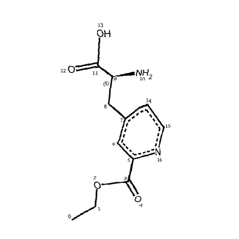 CCOC(=O)c1cc(C[C@H](N)C(=O)O)ccn1